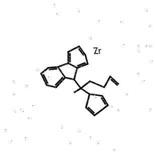 C=CCCC(C)(C1C=CC=C1)C1c2ccccc2-c2ccccc21.[Zr]